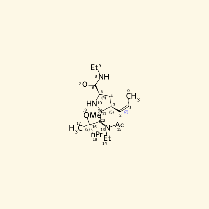 C/C=C\[C@@H]1C[C@H](C(=O)NCC)N[C@H]1[C@@H](N(CC)C(C)=O)[C@](C)(CCC)OC